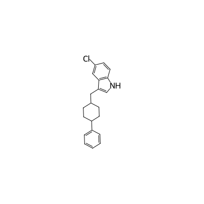 Clc1ccc2[nH]cc(CC3CCC(c4ccccc4)CC3)c2c1